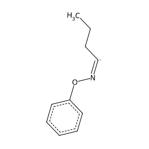 CCC/[C]=N\Oc1ccccc1